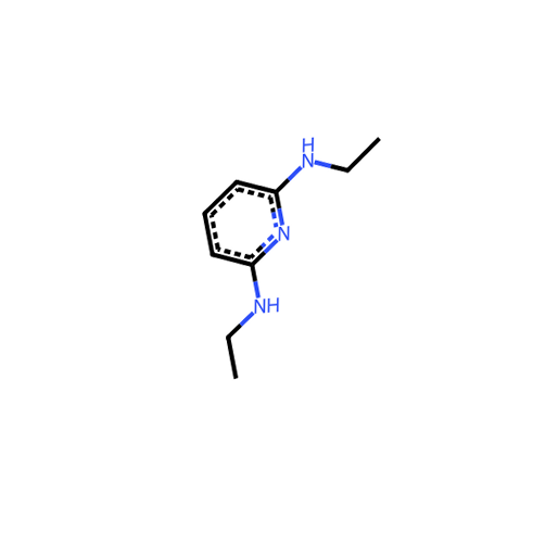 CCNc1cccc(NCC)n1